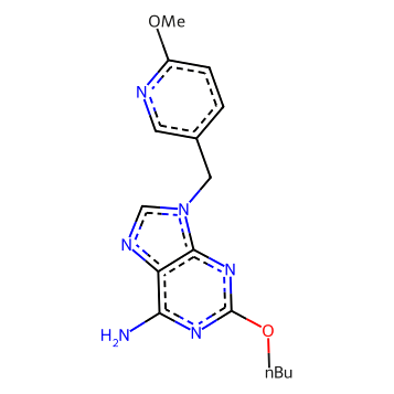 CCCCOc1nc(N)c2ncn(Cc3ccc(OC)nc3)c2n1